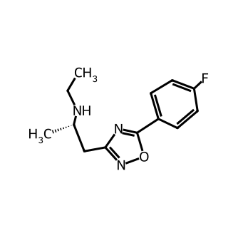 CCN[C@@H](C)Cc1noc(-c2ccc(F)cc2)n1